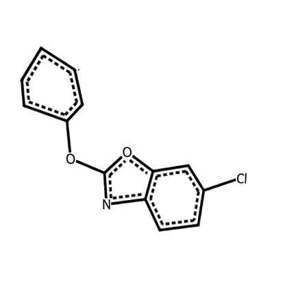 Clc1ccc2nc(Oc3c[c]ccc3)oc2c1